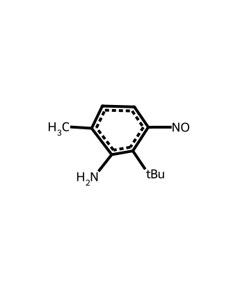 Cc1ccc(N=O)c(C(C)(C)C)c1N